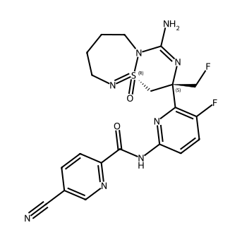 N#Cc1ccc(C(=O)Nc2ccc(F)c([C@]3(CF)C[S@]4(=O)=NCCCCN4C(N)=N3)n2)nc1